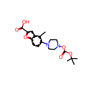 Cc1c(N2CCN(OC(=O)OC(C)(C)C)CC2)ccc2oc(C(=O)O)cc12